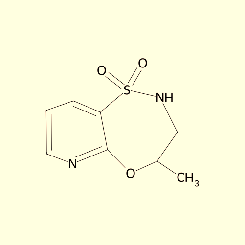 CC1CNS(=O)(=O)c2cccnc2O1